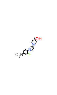 CC1(O)CCN([C@@H]2CCN(c3ccc([N+](=O)[O-])cc3F)C2)CC1